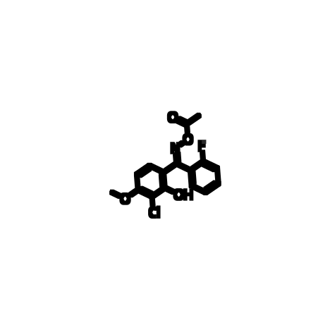 COc1ccc(C(=NOC(C)=O)c2ccccc2F)c(O)c1Cl